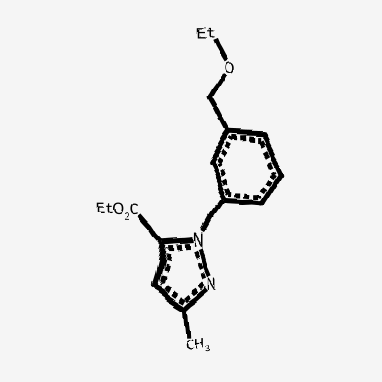 CCOCc1cccc(-n2nc(C)cc2C(=O)OCC)c1